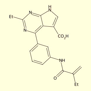 C=C(CC)C(=O)Nc1cccc(-c2nc(CC)nc3[nH]cc(C(=O)O)c23)c1